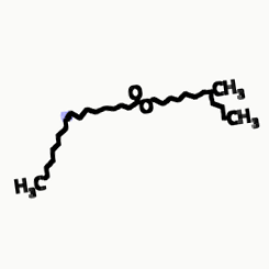 CCCCCCCC/C=C\CCCCCCCC(=O)OCCCCCCCC(C)CCCC